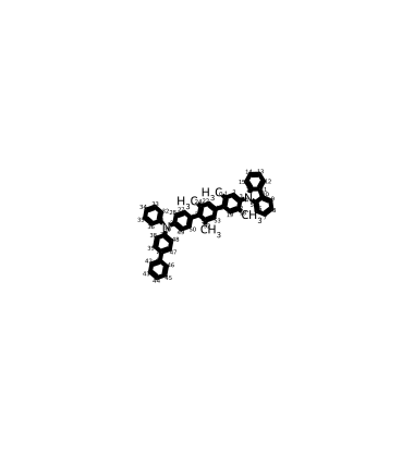 Cc1cc(-n2c3ccccc3c3ccccc32)c(C)cc1-c1cc(C)c(-c2ccc(N(c3ccccc3)c3ccc(-c4ccccc4)cc3)cc2)c(C)c1